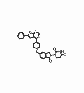 O=C1CCN(N2Cc3cc(CN4CC=C(c5ncnc6sc(-c7ccccc7)cc56)CC4)ccc3C2=O)C(=O)N1